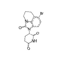 O=C1CCC(n2c(=O)n3c4c(c(Br)ccc42)CCC3)C(=O)N1